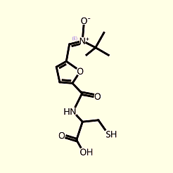 CC(C)(C)/[N+]([O-])=C\c1ccc(C(=O)NC(CS)C(=O)O)o1